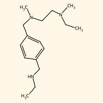 CCNCc1ccc(CN(C)CCN(C)CC)cc1